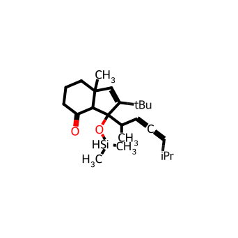 CC(C)C=C=CC(C)C1(O[SiH](C)C)C(C(C)(C)C)=CC2(C)CCCC(=O)C21